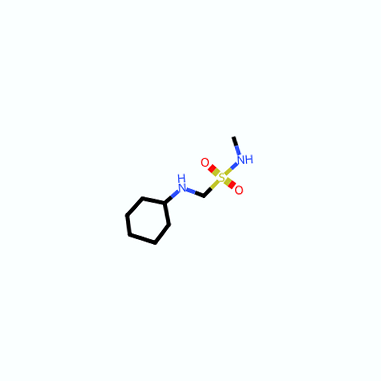 CNS(=O)(=O)CNC1CCCCC1